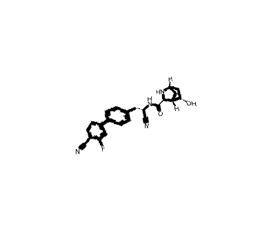 N#Cc1ccc(-c2ccc(C[C@@H](C#N)NC(=O)[C@H]3N[C@H]4C[C@@H]3[C@@H](O)C4)cc2)cc1F